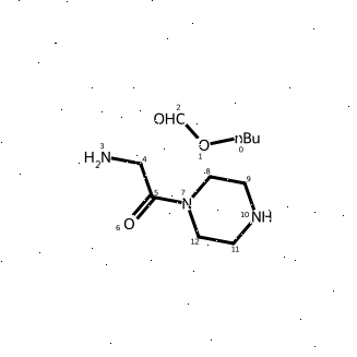 CCCCOC=O.NCC(=O)N1CCNCC1